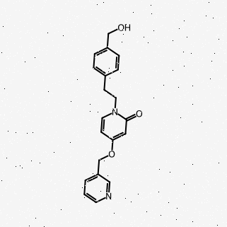 O=c1cc(OCc2cccnc2)ccn1CCc1ccc(CO)cc1